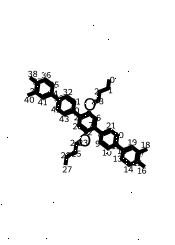 CCCCOc1cc(-c2ccc(-c3ccc(C)c(C)c3)cc2)c(OCCCC)cc1-c1ccc(-c2ccc(C)c(C)c2)cc1